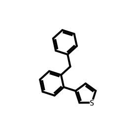 c1ccc(Cc2ccccc2-c2ccsc2)cc1